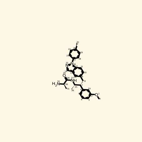 COc1cccc([C@@H](Cc2ccc3c(cnn3-c3ccc(F)cc3)c2)[C@H](C)NC(=O)[C@@H](C)N)c1